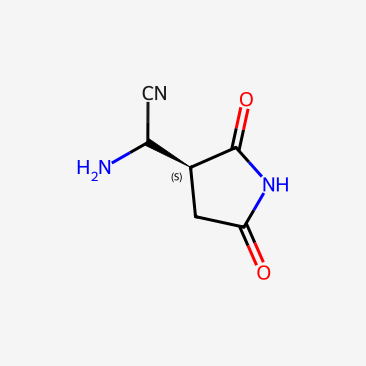 N#CC(N)[C@@H]1CC(=O)NC1=O